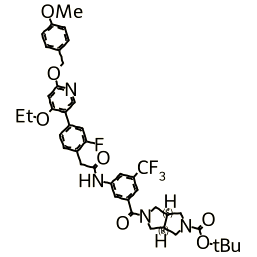 CCOc1cc(OCc2ccc(OC)cc2)ncc1-c1ccc(CC(=O)Nc2cc(C(=O)N3C[C@H]4CN(C(=O)OC(C)(C)C)C[C@H]4C3)cc(C(F)(F)F)c2)c(F)c1